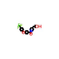 CC(C)(O)CC1CCN(C(=O)c2ccc(Oc3ccc(C(F)(F)F)cc3)cc2)CC1